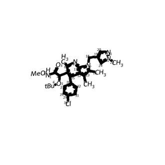 CONC(=O)C(OC(C)(C)C)c1c(C)nc2c(c(C)c(C)n2Cc2cnn(C)c2)c1-c1ccc(Cl)cc1